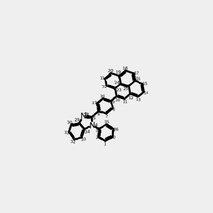 c1ccc(-n2c(-c3ccc(-c4cc5cccc6ccc7cccc4c7c65)cc3)nc3ccccc32)cc1